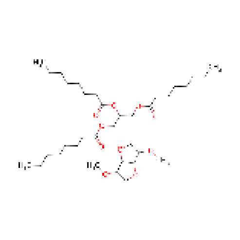 CCCCCCCC(=O)OCC(COC(=O)CCCCCCC)OC(=O)CCCCCCC.COC1COC2C(OC)COC12